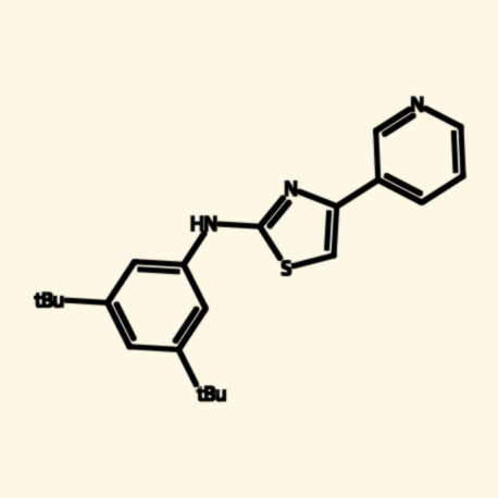 CC(C)(C)c1cc(Nc2nc(-c3cccnc3)cs2)cc(C(C)(C)C)c1